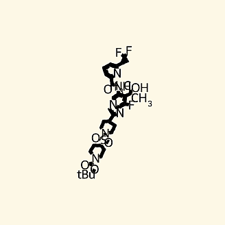 CC(C)(C)OC(=O)N1CCC(S(=O)(=O)N2CCC(c3cn4cc(NC(=O)c5cccc(C6CC6(F)F)n5)c(C(C)(C)O)c(F)c4n3)CC2)CC1